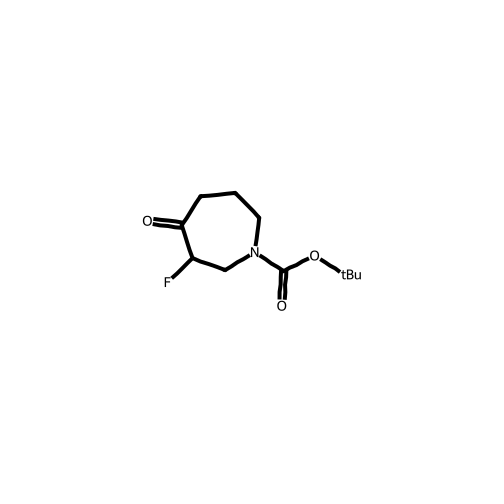 CC(C)(C)OC(=O)N1CCCC(=O)C(F)C1